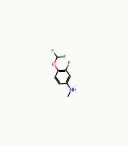 CNc1ccc(OC(F)F)c(F)c1